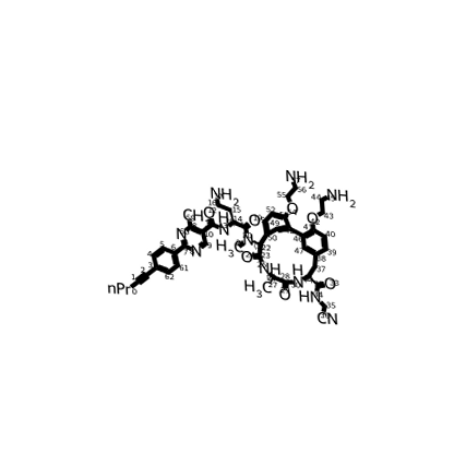 CCCC#Cc1ccc(-c2ncc(C(=O)N[C@@H](CCN)C(=O)N(C)[C@@H]3C(=O)N[C@@H](C)C(=O)N[C@H](C(=O)NCC#N)Cc4ccc(OCCN)c(c4)-c4cc3ccc4OCCN)c(C)n2)cc1